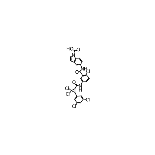 O=C(Nc1ccc2c(ccn2C(=O)O)c1)c1cc(NC(=O)C2C(c3cc(Cl)cc(Cl)c3)C2(Cl)Cl)ccc1Cl